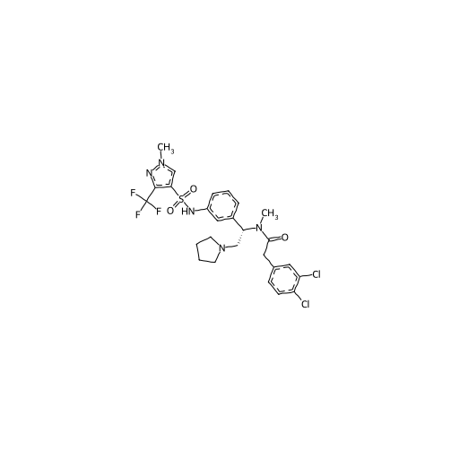 CN(C(=O)Cc1ccc(Cl)c(Cl)c1)[C@H](CN1CCCC1)c1cccc(NS(=O)(=O)c2cn(C)nc2C(F)(F)F)c1